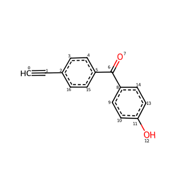 C#Cc1ccc(C(=O)c2ccc(O)cc2)cc1